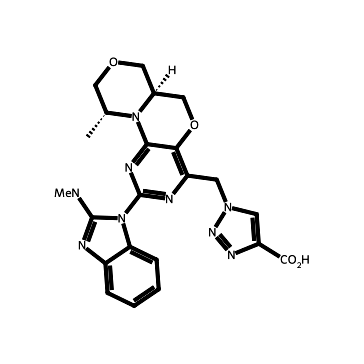 CNc1nc2ccccc2n1-c1nc(Cn2cc(C(=O)O)nn2)c2c(n1)N1[C@@H](COC[C@H]1C)CO2